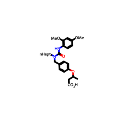 CCCCCCCN(Cc1ccc(OC(C)CC(=O)O)cc1)C(=O)Nc1ccc(OC)cc1OC